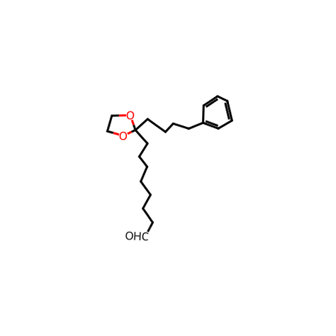 O=CCCCCCCCC1(CCCCc2ccccc2)OCCO1